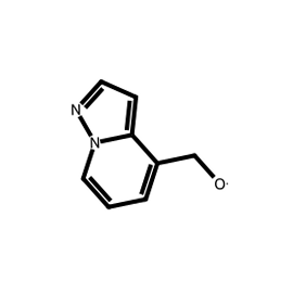 [O]Cc1cccn2nccc12